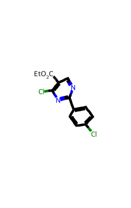 CCOC(=O)c1cnc(-c2ccc(Cl)cc2)nc1Cl